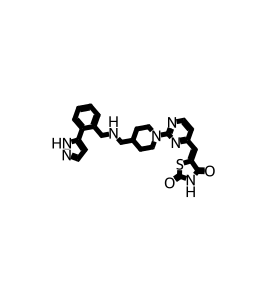 O=C1NC(=O)C(=Cc2ccnc(N3CCC(CNCc4ccccc4-c4ccn[nH]4)CC3)n2)S1